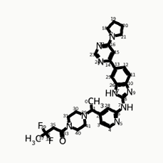 CC(c1ccnc(Nc2nc3ccc(-c4cc(N5CCCC5)ncn4)cc3[nH]2)c1)N1CCN(C(=O)CC(C)(F)F)CC1